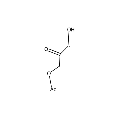 CC(=O)OCC(=O)[CH]O